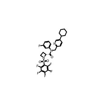 O=C([C@H]1CCN1S(=O)(=O)c1c(F)c(F)c(F)c(F)c1F)N(Cc1ccc(C2CCCCC2)cn1)c1cccc(F)c1